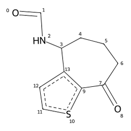 O=CNC1CCCC(=O)c2sccc21